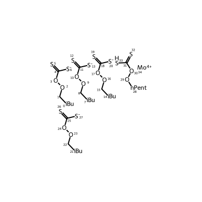 CCC(C)COOC(=S)[S-].CCC(C)COOC(=S)[S-].CCC(C)COOC(=S)[S-].CCC(C)COOC(=S)[S-].CCCCCOOC(=S)S.[Mo+4]